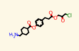 NCC1CCC(C(=O)Oc2ccc(CCC(=O)OCC(=O)CCl)cc2)CC1